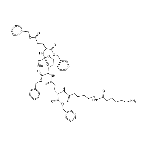 CCCCOP(=O)(N[C@@H](CCC(=O)OCc1ccccc1)C(=O)OCc1ccccc1)OCCC[C@H](NC(=O)CC[C@H](NC(=O)CCCCCNC(=O)CCCCCN)C(=O)OCc1ccccc1)C(=O)OCc1ccccc1